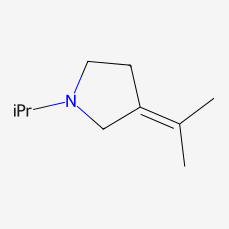 CC(C)=C1CCN(C(C)C)C1